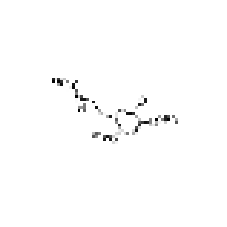 COc1cc(OC)c(CCNC(=O)O)cc1Cl